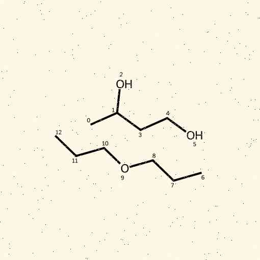 CC(O)CCO.CCCOCCC